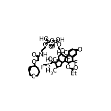 CCC(=O)OC1C(F)C2=CC(=O)C=CC2(C)C2(F)C(OCOP(=O)(O)OP(=O)(O)OCCNC(=O)COC3C#CCCCCC3)CC3(C)C(CC(C)C3C(=O)SCF)C12